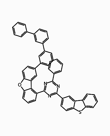 c1ccc(-c2cccc(-c3cccc(-c4ccc5oc6cccc(-c7nc(-c8ccccc8)nc(-c8ccc9sc%10ccccc%10c9c8)n7)c6c5c4)c3)c2)cc1